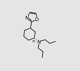 CCCN(CCC)[C@@H]1CCCC(c2ncco2)C1